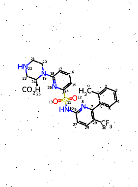 Cc1ccccc1-c1nc(NS(=O)(=O)c2cccc(N3CCNC[C@@H]3C(=O)O)n2)ccc1C(F)(F)F